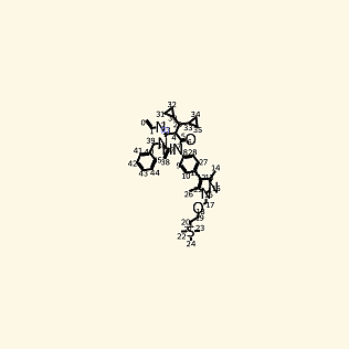 C=C/N=C(/C(C(=O)Nc1ccc(-c2c(C)nn(COCCS(C)(C)C)c2C)cc1)C(C1CC1)C1CC1)N(C=C)Cc1ccccc1